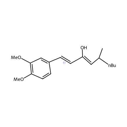 CCCCC(C)C=C(O)/C=C/c1ccc(OC)c(OC)c1